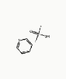 O=P(O)(F)F.c1ccncc1